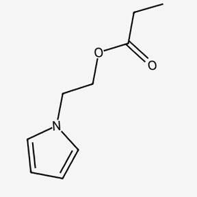 CCC(=O)OCCn1cccc1